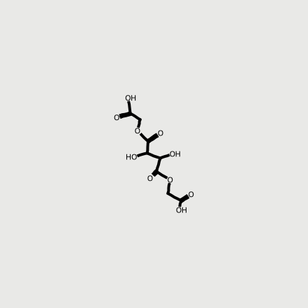 O=C(O)COC(=O)C(O)C(O)C(=O)OCC(=O)O